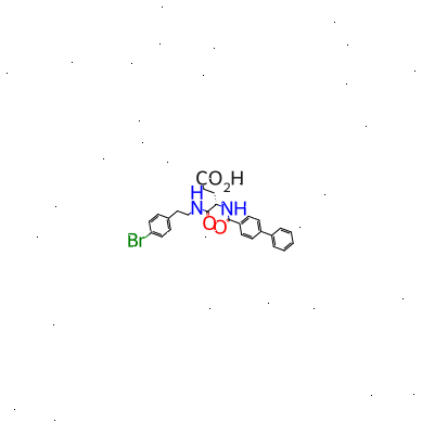 O=C(O)CC[C@H](NC(=O)c1ccc(-c2ccccc2)cc1)C(=O)NCCc1ccc(Br)cc1